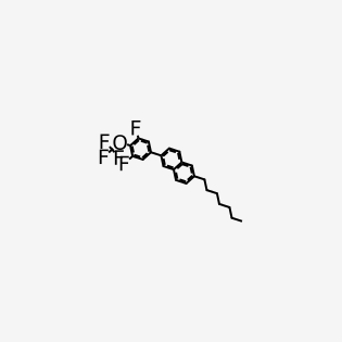 CCCCCCCc1ccc2cc(-c3cc(F)c(OC(F)(F)F)c(F)c3)ccc2c1